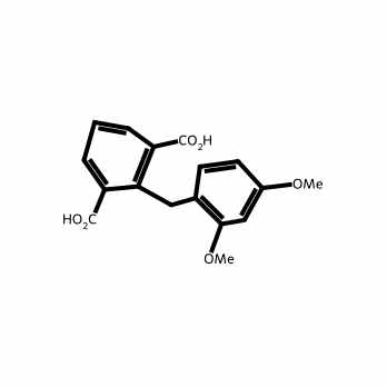 COc1ccc(Cc2c(C(=O)O)cccc2C(=O)O)c(OC)c1